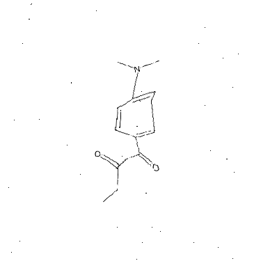 CCC(=O)C(=O)c1ccc(N(C)C)cc1